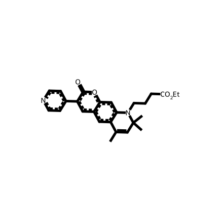 CCOC(=O)CCCN1c2cc3oc(=O)c(-c4ccncc4)cc3cc2C(C)=CC1(C)C